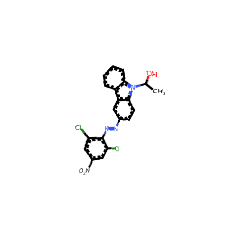 CC(O)n1c2ccccc2c2cc(N=Nc3c(Cl)cc([N+](=O)[O-])cc3Cl)ccc21